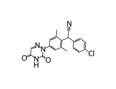 Cc1cc(-n2ncc(=O)[nH]c2=O)cc(C)c1C(C#N)c1ccc(Cl)cc1